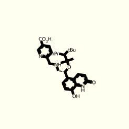 CCCC(C(C)(C)C)C(C)(C)O[C@@H](CNCc1ccc(C(=O)O)cn1)c1ccc(O)c2[nH]c(=O)ccc12